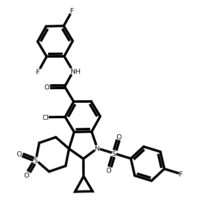 O=C(Nc1cc(F)ccc1F)c1ccc2c(c1Cl)C1(CCS(=O)(=O)CC1)C(C1CC1)N2S(=O)(=O)c1ccc(F)cc1